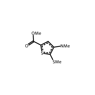 CNc1cc(C(=O)OC)sc1SC